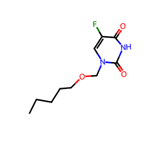 CCCCCOCn1cc(F)c(=O)[nH]c1=O